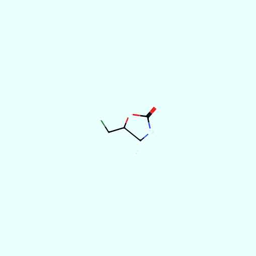 C[C@H]1NC(=O)OC1CCl